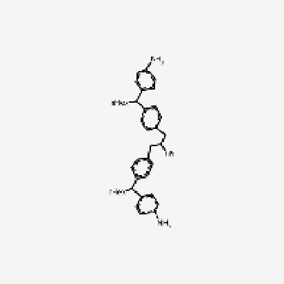 CCCCCCC(c1ccc(N)cc1)c1ccc(CC(CCC)Cc2ccc(C(CCCCCC)c3ccc(N)cc3)cc2)cc1